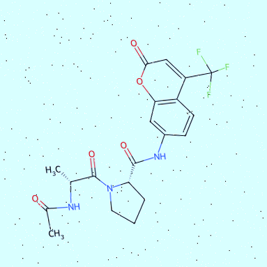 CC(=O)N[C@H](C)C(=O)N1CCC[C@H]1C(=O)Nc1ccc2c(C(F)(F)F)cc(=O)oc2c1